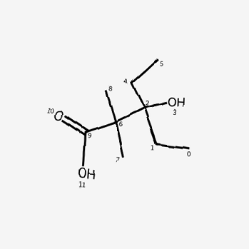 CCC(O)(CC)C(C)(C)C(=O)O